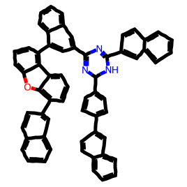 c1ccc2cc(C3=NC(c4cc(-c5cccc6oc7c(-c8ccc9ccccc9c8)cccc7c56)c5ccccc5c4)=NC(c4ccc(-c5ccc6ccccc6c5)cc4)N3)ccc2c1